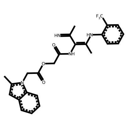 CC(=N)/C(NC(=O)COC(=O)Cn1c(C)cc2ccccc21)=C(/C)Nc1ccccc1C(F)(F)F